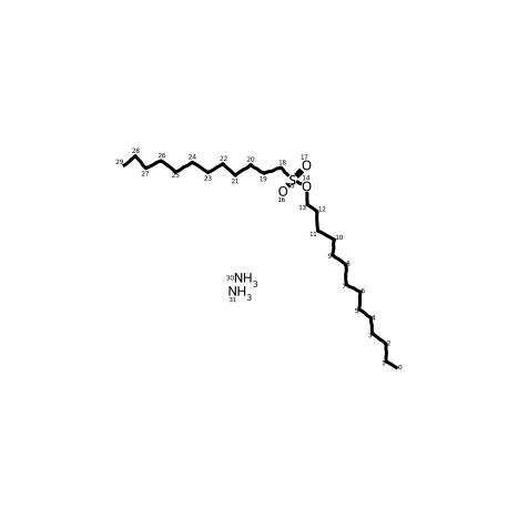 CCCCCCCCCCCCCCOS(=O)(=O)CCCCCCCCCCCC.N.N